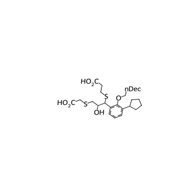 CCCCCCCCCCCOc1c(C2CCCC2)cccc1C(SCCC(=O)O)C(O)CSCC(=O)O